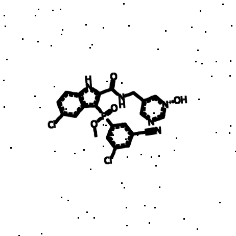 COP(=O)(c1cc(Cl)cc(C#N)c1)c1c(C(=O)NCc2cnc[n+](O)c2)[nH]c2ccc(Cl)cc12